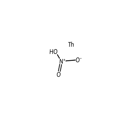 O=[N+]([O-])O.[Th]